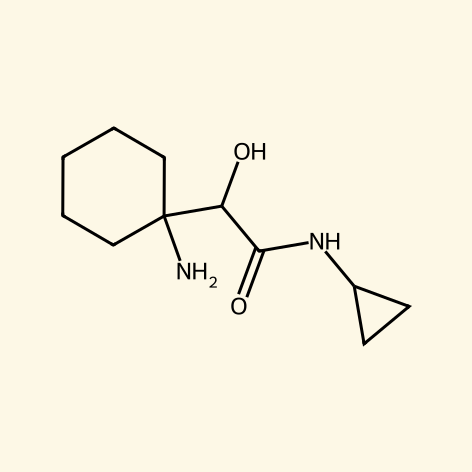 NC1(C(O)C(=O)NC2CC2)CCCCC1